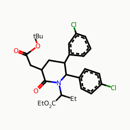 CCOC(=O)C(CC)N1C(=O)C(CC(=O)OC(C)(C)C)CC(c2cccc(Cl)c2)C1c1ccc(Cl)cc1